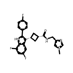 Cn1cnc(CNC(=O)[C@H]2C[C@@H](c3c(-c4ccc(F)cc4)[nH]c4c(F)cc(F)cc43)C2)c1